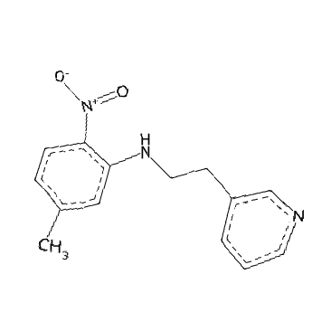 Cc1ccc([N+](=O)[O-])c(NCCc2cccnc2)c1